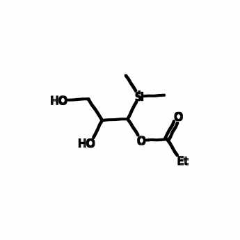 CCC(=O)OC(C(O)CO)[Si](C)C